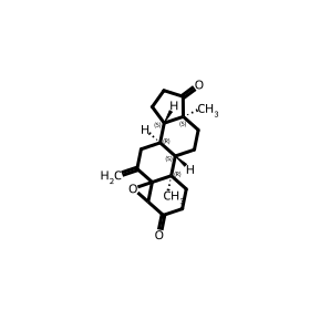 C=C1C[C@H]2[C@@H]3CCC(=O)[C@@]3(C)CC[C@@H]2[C@@]2(C)CCC(=O)C3OC132